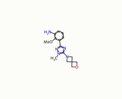 COc1c(N)cccc1-c1nc(N2CC3(COC3)C2)n(C)n1